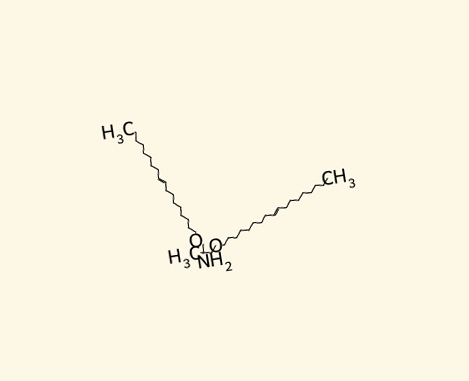 CCCCCCCCC=CCCCCCCCCOCC(C)(N)COCCCCCCCCC=CCCCCCCCC